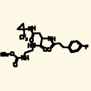 CC(C)(C)OC(=O)NCCNC(=O)C(CC(=O)NC1(C(F)(F)F)CC1)NC(=O)CCc1ccc(F)cc1